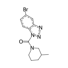 CC1CCCN(C(=O)n2nnc3cc(Br)ccc32)C1